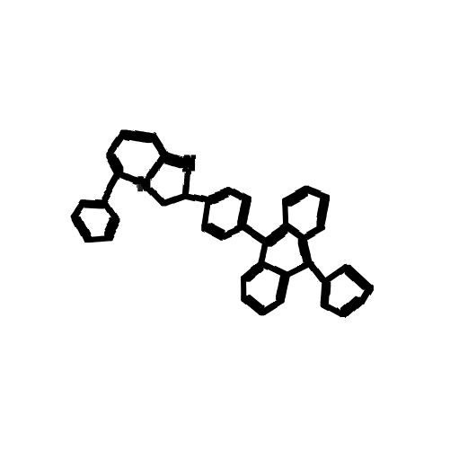 C1=CC2=NC(c3ccc(-c4c5ccccc5c(-c5ccccc5)c5ccccc45)cc3)CN2C(c2ccccc2)=C1